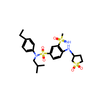 CCc1ccc(N(CC(C)C)S(=O)(=O)c2ccc(NC3CCS(=O)(=O)C3)c(S(C)(=N)=O)c2)cc1